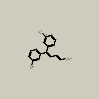 O=C(O)C=CC=C(c1cccc(C(F)(F)F)c1)c1cccc(C(F)(F)F)c1